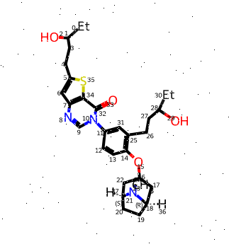 CCC(O)CCc1cc2ncn(-c3ccc(OC4C[C@H]5CC[C@@H](C4)N5C)c(CCC(O)CC)c3)c(=O)c2s1